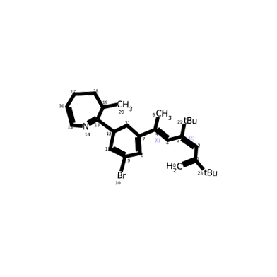 C=C(/C=C(\C=C(/C)C1=CC(Br)=CC(C2=NC=CCCC2C)C1)C(C)(C)C)C(C)(C)C